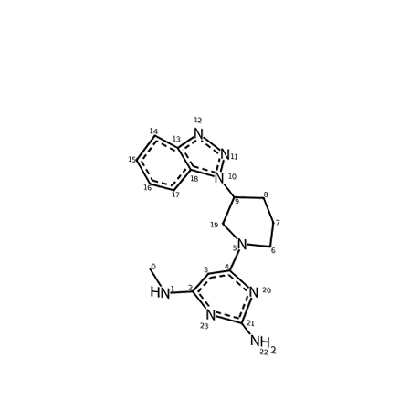 CNc1cc(N2CCCC(n3nnc4ccccc43)C2)nc(N)n1